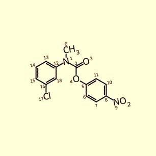 CN(C(=O)Oc1ccc([N+](=O)[O-])cc1)c1cccc(Cl)c1